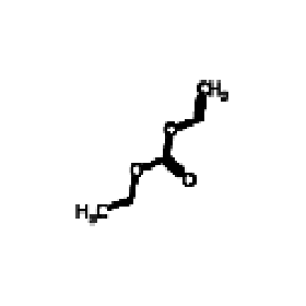 C=COC(=O)OCC